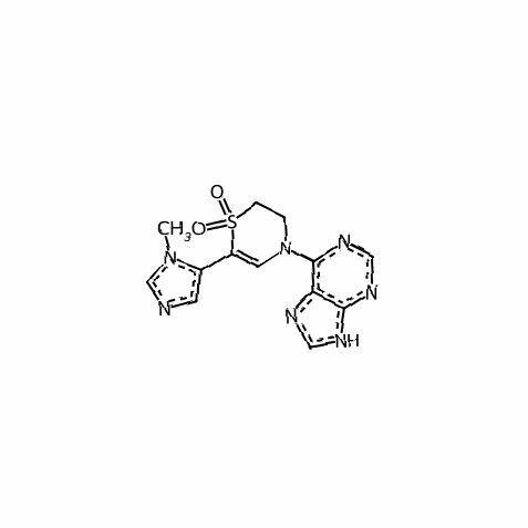 Cn1cncc1C1=CN(c2ncnc3[nH]cnc23)CCS1(=O)=O